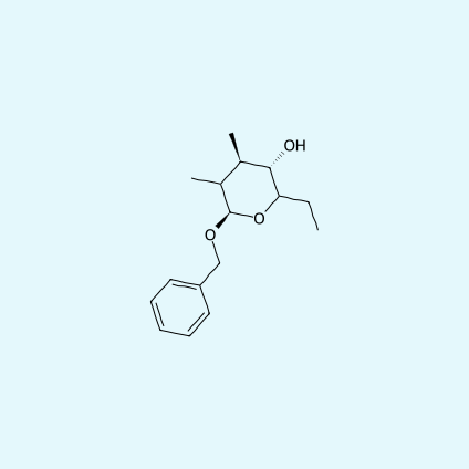 CCC1O[C@@H](OCc2ccccc2)C(C)[C@@H](C)[C@@H]1O